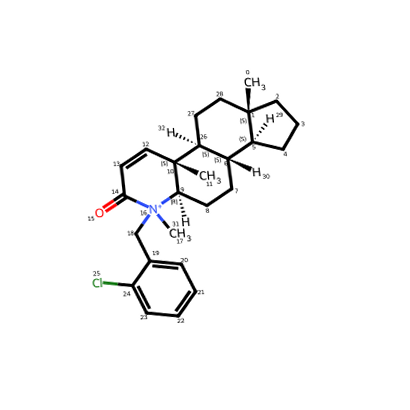 C[C@@]12CCC[C@H]1[C@@H]1CC[C@@H]3[C@](C)(C=CC(=O)[N+]3(C)Cc3ccccc3Cl)[C@H]1CC2